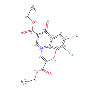 CCOC(=O)C1=Cn2cc(C(=O)OCC)c(=O)c3cc(F)c(F)c(c32)O1